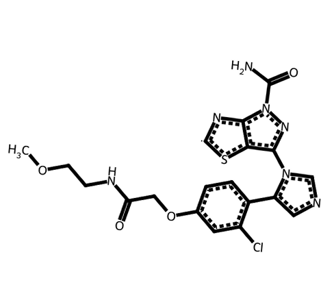 COCCNC(=O)COc1ccc(-c2cncn2-c2nn(C(N)=O)c3n[c]sc23)c(Cl)c1